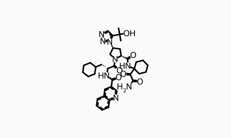 CC(C)(O)c1cnnn1[C@H]1C[C@@H](C(=O)NC2(C(=O)C(N)=O)CCCCC2)N(C(=O)[C@@H](CC2CCCCC2)NC(=O)c2cnc3ccccc3c2)C1